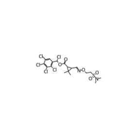 CN(C)S(=O)(=O)CCON=CC1C(C(=O)OC(Cl)c2cc(Cl)c(Cl)c(Cl)c2Cl)C1(C)C